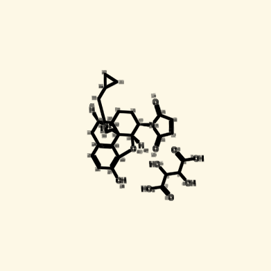 O=C(O)C(O)C(O)C(=O)O.O=C1C=CC(=O)N1[C@@H]1CC[C@@]2(O)[C@H]3Cc4ccc(O)c5c4[C@@]2(CCN3CC2CC2)[C@H]1O5